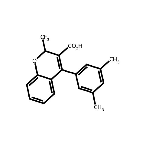 Cc1cc(C)cc(C2=C(C(=O)O)C(C(F)(F)F)Oc3ccccc32)c1